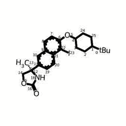 CC(C)(C)C1CCC(Oc2ccc3cc([C@]4(C)COC(=O)N4)ccc3c2I)CC1